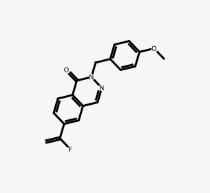 C=C(F)c1ccc2c(=O)n(Cc3ccc(OC)cc3)ncc2c1